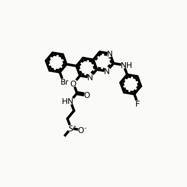 C[S+]([O-])CCNC(=O)Oc1nc2nc(Nc3ccc(F)cc3)ncc2cc1-c1ccccc1Br